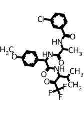 COc1ccc(C(NC(=O)C(C)NC(=O)c2cccc(Cl)c2)C(=O)NC(C(=O)C(F)(F)F)C(C)C)cc1